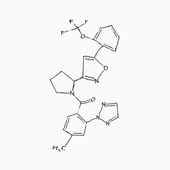 Cc1ccc(C(=O)N2CCCC2c2cc(-c3ccccc3OC(F)(F)F)on2)c(-n2nccn2)c1